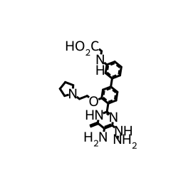 C=C1NC(c2ccc(-c3cccc(NCC(=O)O)c3)cc2OCCN2CCCC2)=NC(NN)=C1N